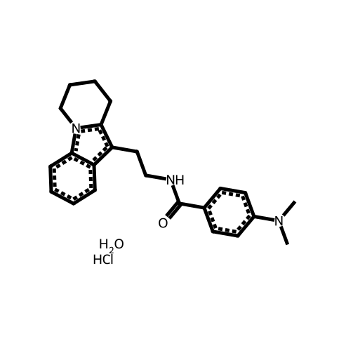 CN(C)c1ccc(C(=O)NCCc2c3n(c4ccccc24)CCCC3)cc1.Cl.O